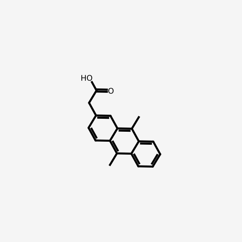 Cc1c2ccccc2c(C)c2cc(CC(=O)O)ccc12